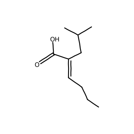 CCC/C=C(\CC(C)C)C(=O)O